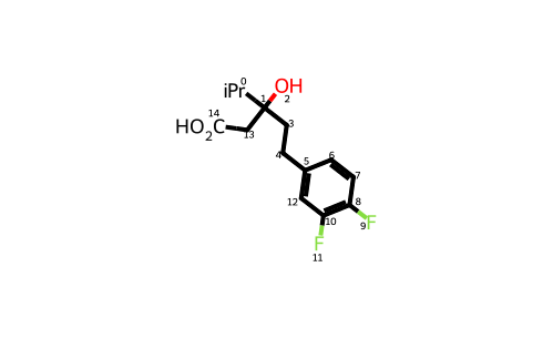 CC(C)C(O)(CCc1ccc(F)c(F)c1)CC(=O)O